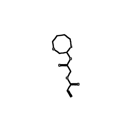 C=CC(=O)OCC(=O)OC1COCCCCS1